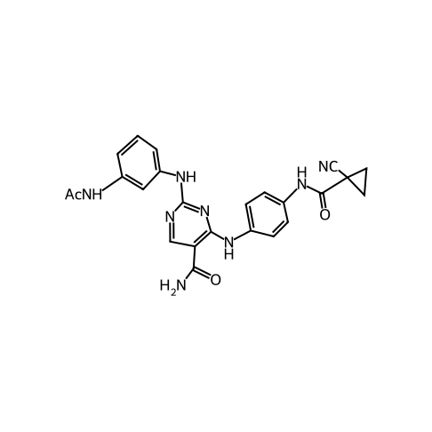 CC(=O)Nc1cccc(Nc2ncc(C(N)=O)c(Nc3ccc(NC(=O)C4(C#N)CC4)cc3)n2)c1